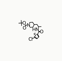 CC(CC1CCN(C(=O)OC(C)(C)C)CC1)NC(=O)c1ccc(Cl)s1